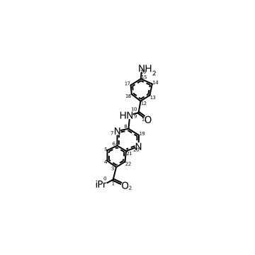 CC(C)C(=O)c1ccc2nc(NC(=O)c3ccc(N)cc3)cnc2c1